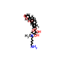 CN(CCCCCCN)[C@H]1CO[C@H](OC2C=C3CC[C@@H]4[C@H](CCC5(C)[C@@H](c6ccc(=O)oc6)CCC45O)C3(C)CC2)C(O)[C@@H]1O